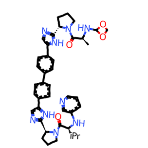 CC(C)[C@H](Nc1cccnc1)C(=O)N1CCC[C@H]1c1ncc(-c2ccc(-c3ccc(-c4cnc([C@@H]5CCCN5C(=O)[C@H](C)NC5OCO5)[nH]4)cc3)cc2)[nH]1